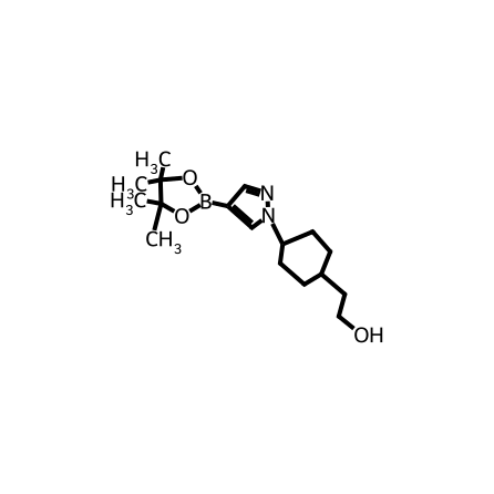 CC1(C)OB(c2cnn(C3CCC(CCO)CC3)c2)OC1(C)C